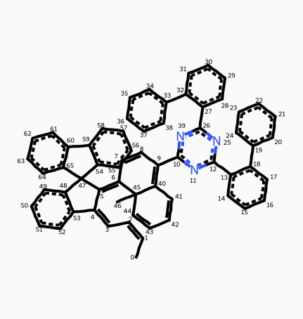 C\C=C/C=C1\C(=C2\C=CC(c3nc(-c4ccccc4-c4ccccc4)nc(-c4ccccc4-c4ccccc4)n3)=C3C=CC=CC32C)C2(c3ccccc31)c1ccccc1-c1ccccc12